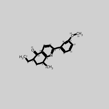 CCC1CC(C)c2nc(-c3cccc(OC)c3)ccc2C1=O